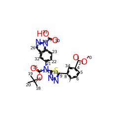 COC(=O)c1cccc(-c2nnc(N(C(=O)OC(C)(C)C)c3ccc4c(cnn4C(=O)O)c3)s2)c1